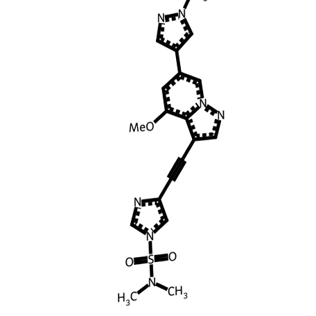 COc1cc(-c2cnn(C)c2)cn2ncc(C#Cc3cn(S(=O)(=O)N(C)C)cn3)c12